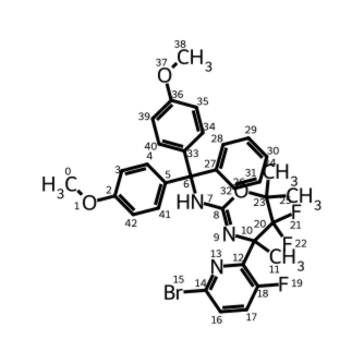 COc1ccc(C(NC2=NC(C)(c3nc(Br)ccc3F)C(F)(F)C(C)(C)O2)(c2ccccc2)c2ccc(OC)cc2)cc1